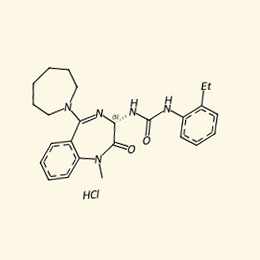 CCc1ccccc1NC(=O)N[C@H]1N=C(N2CCCCCC2)c2ccccc2N(C)C1=O.Cl